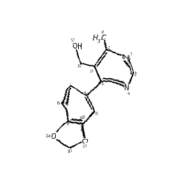 Cc1ncnc(-c2ccc3c(c2)OCO3)c1CO